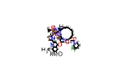 COc1ccc2c(O[C@@H]3C[C@H]4C(=O)N[C@]5(C(=O)NS(=O)(=O)C6CC6)C[C@H]5/C=C\CCCCC[C@H](CC(=O)N5CCCC(F)(F)C5)C(=O)N4C3)cc(-c3csc(C(C)C)n3)nc2c1C